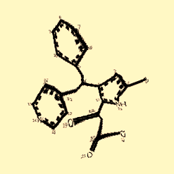 Cc1cc(C(c2ccccc2)c2ccncc2)c(C(=O)C(=O)Cl)[nH]1